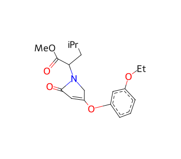 CCOc1cccc(OC2=CC(=O)N(C(CC(C)C)C(=O)OC)C2)c1